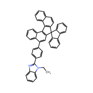 CCn1c(-c2ccc(-c3cc4c(c5ccccc35)-c3c(ccc5ccccc35)C43c4ccccc4-c4ccccc43)cc2)nc2ccccc21